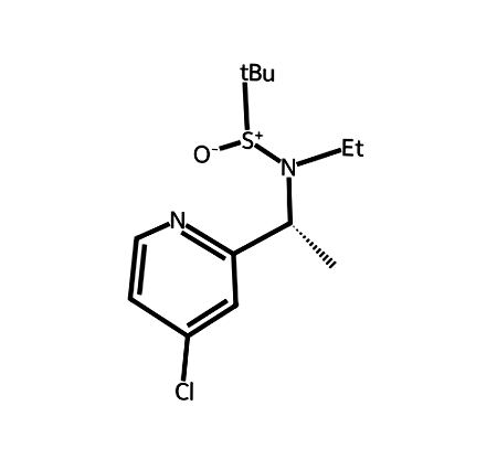 CCN([C@H](C)c1cc(Cl)ccn1)[S+]([O-])C(C)(C)C